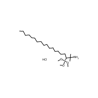 CCCCCCCCCCCCCCCCC(C(C)(C)N)[Si](OC)(OC)OC.Cl